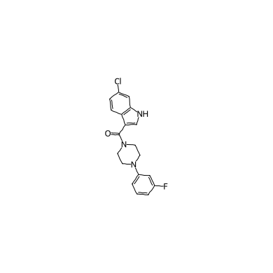 O=C(c1c[nH]c2cc(Cl)ccc12)N1CCN(c2cccc(F)c2)CC1